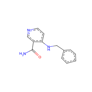 NC(=O)c1cnccc1NCc1ccccc1